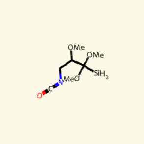 COC(CN=C=O)C([SiH3])(OC)OC